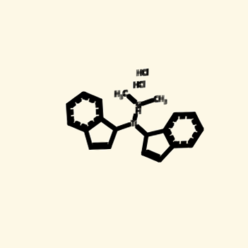 C[SiH](C)[Ti]([CH]1C=Cc2ccccc21)[CH]1C=Cc2ccccc21.Cl.Cl